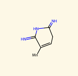 N=C1CC=[C]([Mn])C(=N)N1